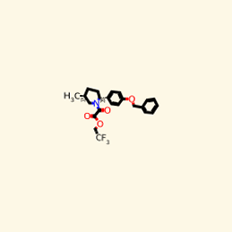 C[C@H]1CC[C@H](c2ccc(OCc3ccccc3)cc2)N(C(=O)C(=O)OCC(F)(F)F)C1